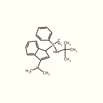 CN(C)C1=CC(S(C)(NC(C)(C)C)c2ccccc2)c2ccccc21